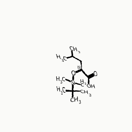 CC(C)C[C@H](O[Si](C)(C)C(C)(C)C)C(=O)O